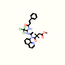 C=C(NC(NC(=O)/C=C/c1ccccc1)C(Cl)(Cl)Cl)N(C(=O)C(C)(C)CC(=O)OC)c1cccc2cccnc12